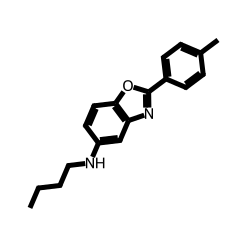 CCCCNc1ccc2oc(-c3ccc(C)cc3)nc2c1